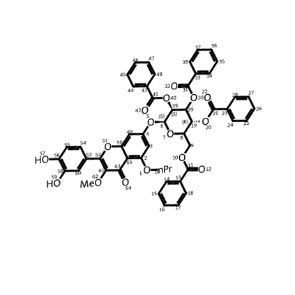 CCCOc1cc(O[C@@H]2OC(COC(=O)c3ccccc3)[C@@H](OC(=O)c3ccccc3)C(OC(=O)c3ccccc3)[C@@H]2OC(=O)c2ccccc2)cc2oc(-c3ccc(O)c(O)c3)c(OC)c(=O)c12